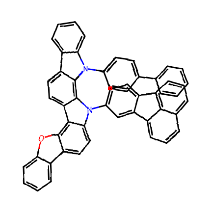 c1ccc(-c2ccc(-n3c4ccccc4c4ccc5c6c7oc8ccccc8c7ccc6n(-c6ccc7c(c6)-c6cccc8cccc-7c68)c5c43)cc2)cc1